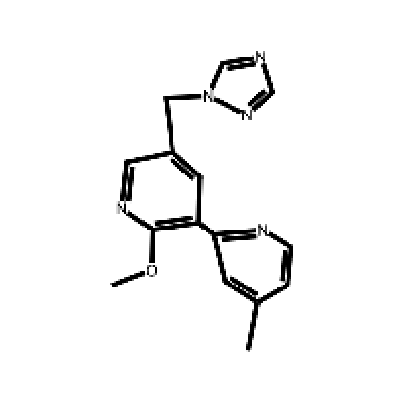 COc1ncc(Cn2cncn2)cc1-c1cc(C)ccn1